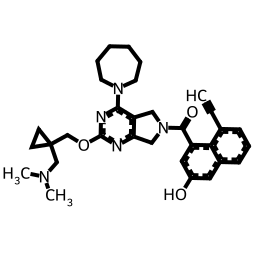 C#Cc1cccc2cc(O)cc(C(=O)N3Cc4nc(OCC5(CN(C)C)CC5)nc(N5CCCCCC5)c4C3)c12